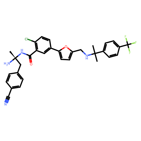 CC(C)(NCc1ccc(-c2ccc(Cl)c(C(=O)N[C@@](C)(N)Cc3ccc(C#N)cc3)c2)o1)c1ccc(C(F)(F)F)cc1